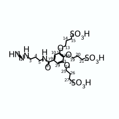 N=NNCCCNC(=O)c1cc(OCCCS(=O)(=O)O)c(OCCCS(=O)(=O)O)c(OCCCS(=O)(=O)O)c1